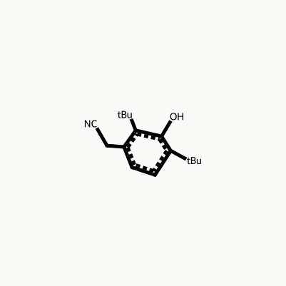 CC(C)(C)c1ccc(CC#N)c(C(C)(C)C)c1O